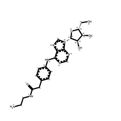 NCCNC(=O)Cc1ccc(Nc2ncnc3c2ncn3[C@@H]2O[C@H](CO)[C@@H](O)[C@H]2O)cc1